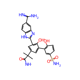 CC(C)(C([NH])=O)c1cc(-c2nc3cc(C(=N)N)ccc3[nH]2)c(O)c(-c2cc(S(N)(=O)=O)ccc2O)c1